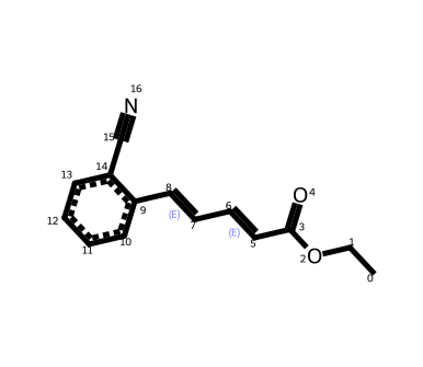 CCOC(=O)/C=C/C=C/c1ccccc1C#N